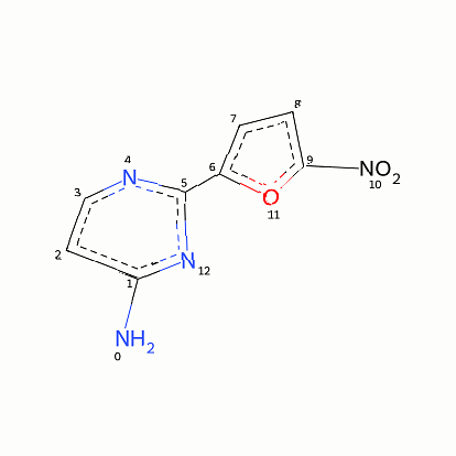 Nc1ccnc(-c2ccc([N+](=O)[O-])o2)n1